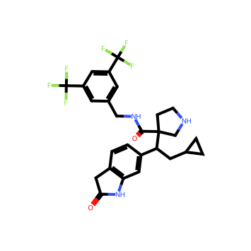 O=C1Cc2ccc(C(CC3CC3)C3(C(=O)NCc4cc(C(F)(F)F)cc(C(F)(F)F)c4)CCNC3)cc2N1